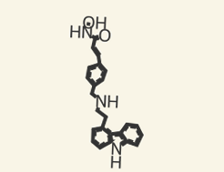 O=C(/C=C/c1ccc(CNCCc2cccc3[nH]c4ccccc4c23)cc1)NO